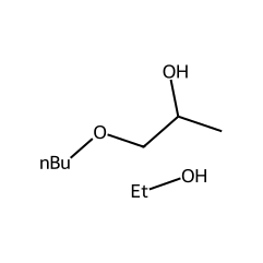 CCCCOCC(C)O.CCO